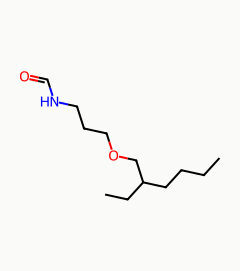 CCCCC(CC)COCCCNC=O